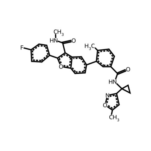 CNC(=O)c1c(-c2ccc(F)cc2)oc2ccc(-c3cc(C(=O)NC4(c5cc(C)on5)CC4)ccc3C)cc12